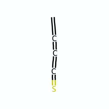 C=C=C=C=S